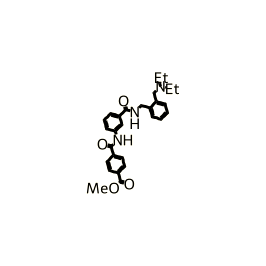 CCN(CC)Cc1ccccc1CNC(=O)c1cccc(NC(=O)c2ccc(C(=O)OC)cc2)c1